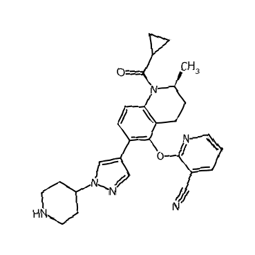 C[C@H]1CCc2c(ccc(-c3cnn(C4CCNCC4)c3)c2Oc2ncccc2C#N)N1C(=O)C1CC1